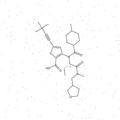 CC[C@@H](C(=O)N(C)CC1CCOC1)N(C(=O)C1CCC(C)CC1)c1cc(C#CC(C)(C)C)sc1C(=O)O